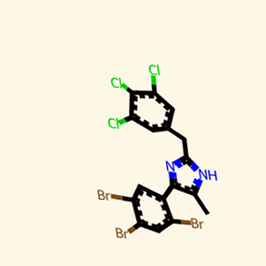 Cc1[nH]c(Cc2cc(Cl)c(Cl)c(Cl)c2)nc1-c1cc(Br)c(Br)cc1Br